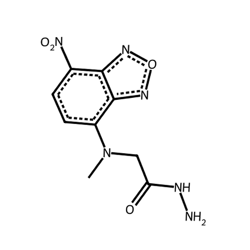 CN(CC(=O)NN)c1ccc([N+](=O)[O-])c2nonc12